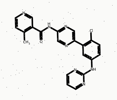 Cc1ccncc1C(=O)Nc1cnc(-c2cc(Nc3ncccn3)ccc2Cl)cn1